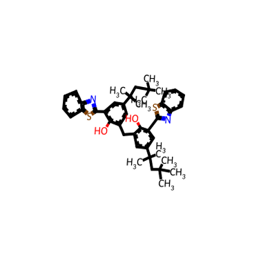 CC(C)(C)CC(C)(C)c1cc(Cc2cc(C(C)(C)CC(C)(C)C)cc(-c3nc4ccccc4s3)c2O)c(O)c(-c2nc3ccccc3s2)c1